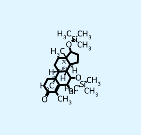 CC1=C2C(Br)C(O[Si](C)(C)C)[C@@H]3[C@@H](CC[C@]4(C)C(O[Si](C)(C)C)CC[C@@H]34)[C@@]2(C)CCC1=O